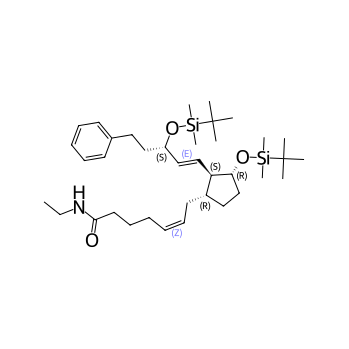 CCNC(=O)CCC/C=C\C[C@H]1CC[C@@H](O[Si](C)(C)C(C)(C)C)[C@@H]1/C=C/[C@H](CCc1ccccc1)O[Si](C)(C)C(C)(C)C